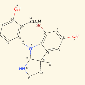 CN1c2c(Br)cc(O)cc2C2(C)CCNC12.O=C(O)c1ccccc1O